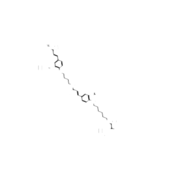 C=C(C)C(=O)OCCCCCCOc1ccc(/C=C/C(=O)OCCCCOc2ccc(/C=C/C(=O)OC)cc2OC)cc1OC